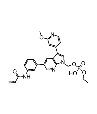 C=CC(=O)Nc1cccc(-c2cnc3c(c2)c(-c2ccnc(OC)c2)cn3COP(=O)(O)OCC)c1